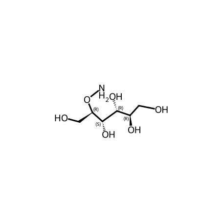 NO[C@H](CO)[C@@H](O)[C@H](O)[C@H](O)CO